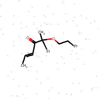 C/C=C/C(=O)C(C)(CC)OCCC(C)C